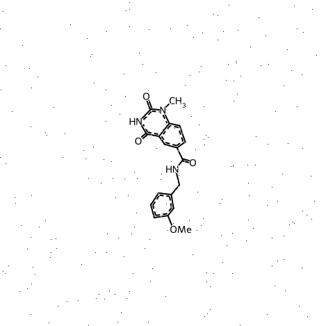 COc1cccc(CNC(=O)c2ccc3c(c2)c(=O)[nH]c(=O)n3C)c1